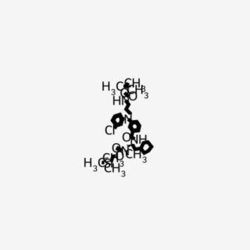 CN(C[C@H](CC1CCCCC1)NC(=O)c1cccc(N(CCCNC(=O)OC(C)(C)C)c2cccc(Cl)c2)c1)C(=O)OCC[Si](C)(C)C